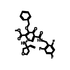 C=CC1(Nn2cc(C(=O)NCc3c(F)cc(F)cc3F)c(=O)c(OCc3ccccc3)c2C(=O)OC)CCOC1